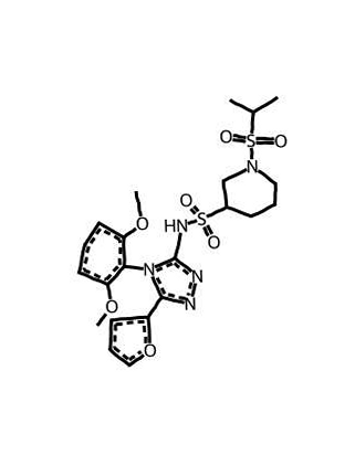 COc1cccc(OC)c1-n1c(NS(=O)(=O)C2CCCN(S(=O)(=O)C(C)C)C2)nnc1-c1ccco1